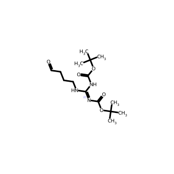 CC(C)(C)OC(=O)/N=C(/NCCCC=O)NC(=O)OC(C)(C)C